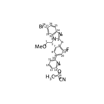 COCCn1c(Cc2ccc(-c3cccc(OC(C)C#N)n3)cc2F)nc2ccc(Br)cc21